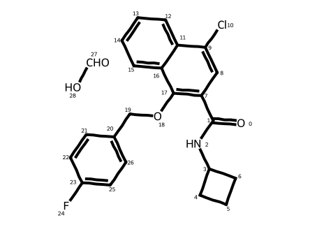 O=C(NC1CCC1)c1cc(Cl)c2ccccc2c1OCc1ccc(F)cc1.O=CO